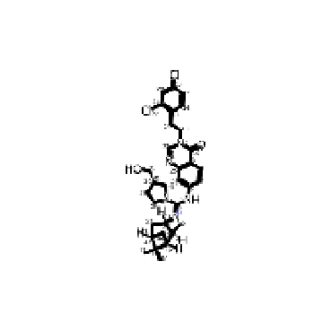 C[C@@H]1[C@@H](/N=C(/Nc2ccc3c(=O)n(CCc4ccc(Cl)cc4Cl)cnc3c2)N2CC[C@@H](CO)C2)C[C@@H]2C[C@H]1C2(C)C